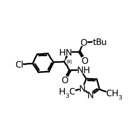 Cc1cc(NC(=O)[C@H](NC(=O)OC(C)(C)C)c2ccc(Cl)cc2)n(C)n1